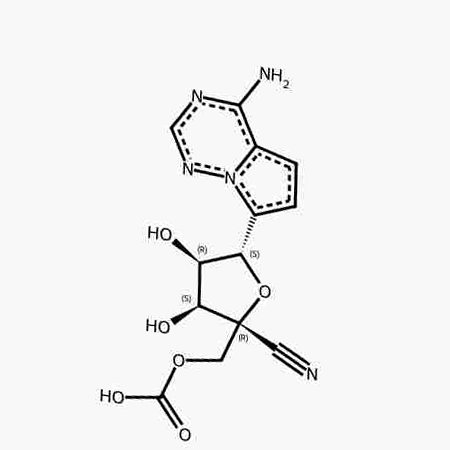 N#C[C@]1(COC(=O)O)O[C@@H](c2ccc3c(N)ncnn23)[C@H](O)[C@@H]1O